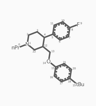 CCCN1CCC(c2ccc(F)cc2)C(COc2ccc(C(C)(C)C)cc2)C1